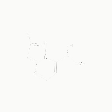 COC(C)c1ccnc2cc(Cl)nn12